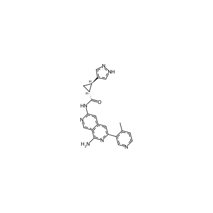 Cc1ccncc1-c1cc2cc(NC(=O)[C@@H]3C[C@H]3c3cn[nH]c3)ncc2c(N)n1